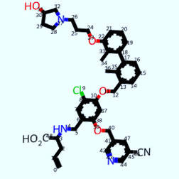 C=CCC(NCc1cc(Cl)c(OCc2cccc(-c3cccc(OCCCN4CCC(O)C4)c3C)c2C)cc1OCc1cncc(C#N)c1)C(=O)O